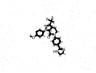 COc1ccc(-n2nc(C(F)(F)F)c3c2C(=O)N(c2ccc(C4=NCCN4)cc2)CC3)cc1